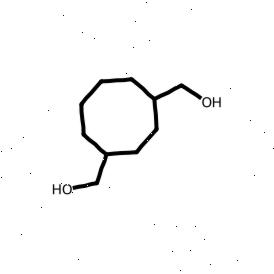 OCC1CCCCC(CO)CC1